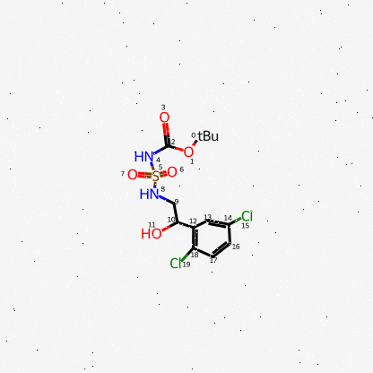 CC(C)(C)OC(=O)NS(=O)(=O)NCC(O)c1cc(Cl)ccc1Cl